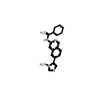 C=C(Nc1cc2cc(-c3cncn3C)ccc2cn1)C1CCCCC1